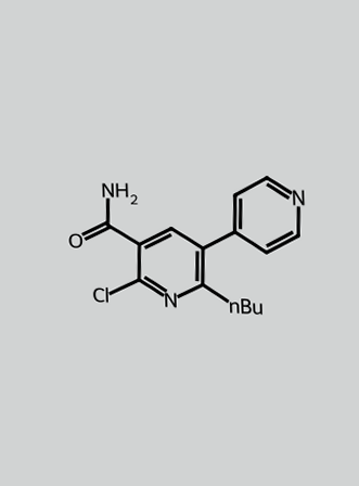 CCCCc1nc(Cl)c(C(N)=O)cc1-c1ccncc1